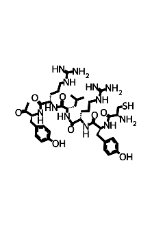 CC(=O)[C@H](Cc1ccc(O)cc1)NC(=O)[C@H](CCCNC(=N)N)NC(=O)[C@H](CC(C)C)NC(=O)[C@H](CCCNC(=N)N)NC(=O)[C@H](Cc1ccc(O)cc1)NC(=O)[C@@H](N)CS